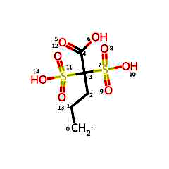 [CH2]CCC(C(=O)O)(S(=O)(=O)O)S(=O)(=O)O